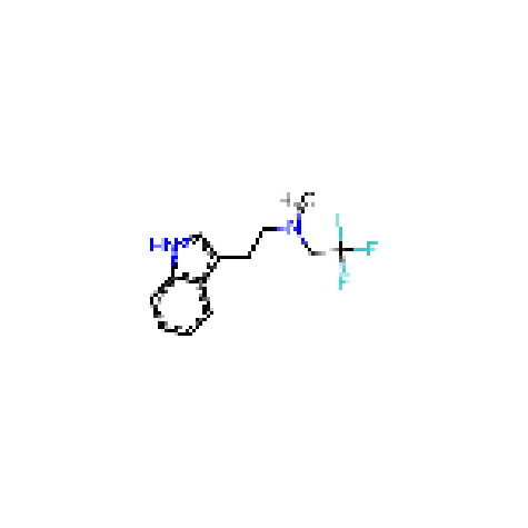 CN(CCc1c[nH]c2ccccc12)CC(F)(F)F